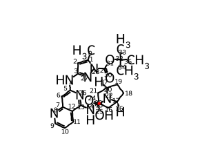 Cc1cc(Nc2cc3ncccc3c(N[C@H]3C[C@H]4CC[C@@H](C3)N4C(=O)O)n2)nn1C(=O)OC(C)(C)C